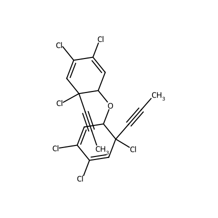 CC#CC1(Cl)C=C(Cl)C(Cl)=CC1OC1C=C(Cl)C(Cl)=CC1(Cl)C#CC